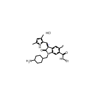 CCNC(=O)c1cc2c(cc1F)/C(=C/c1[nH]c(C)cc1C)C(=O)N2CC1CCC(N)CC1.Cl